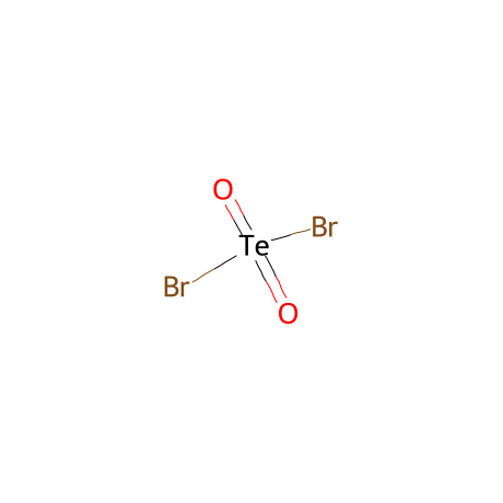 O=[Te](=O)(Br)Br